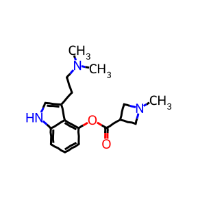 CN(C)CCc1c[nH]c2cccc(OC(=O)C3CN(C)C3)c12